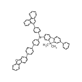 CC1(C)c2cc(-c3ccccc3)ccc2-c2ccc(N(c3ccc(-c4ccc(-c5ccc6c(c5)oc5ccccc56)cc4)cc3)c3ccc(-c4cc5ccccc5c5ccccc45)cc3)cc21